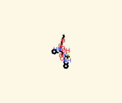 C=CCOCCOC(=O)N[C@@H](Cc1ccccc1)[C@H](O)C(=O)N1CSC(C)(C)[C@H]1C(=O)NCc1ccccc1C